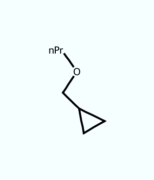 CCCOCC1CC1